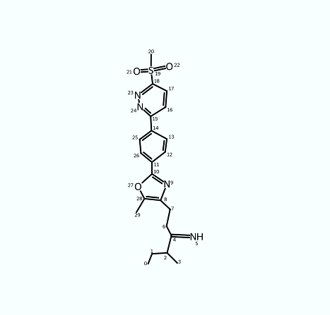 CCC(C)C(=N)CCc1nc(-c2ccc(-c3ccc(S(C)(=O)=O)nn3)cc2)oc1C